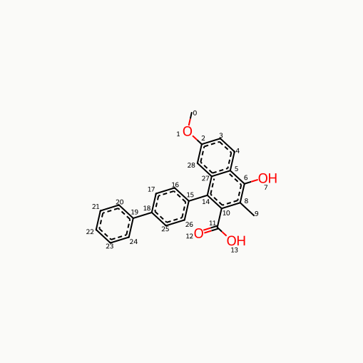 COc1ccc2c(O)c(C)c(C(=O)O)c(-c3ccc(-c4ccccc4)cc3)c2c1